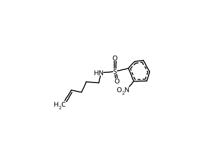 C=CCCCNS(=O)(=O)c1ccccc1[N+](=O)[O-]